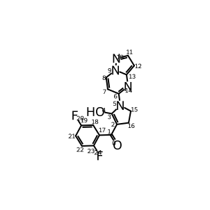 O=C(C1=C(O)N(c2ccn3nccc3n2)CC1)c1cc(F)ccc1F